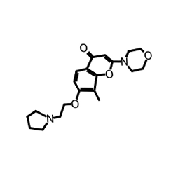 Cc1c(OCCN2CCCC2)ccc2c(=O)cc(N3CCOCC3)oc12